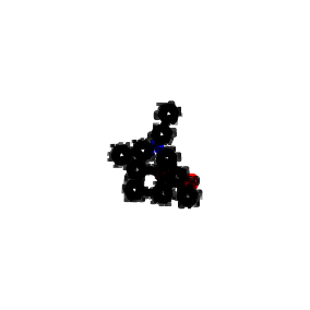 c1ccc(-c2ccc(N(c3ccc(-c4ccccc4)cc3)c3ccc4c(c3)oc3c(-c5cccc6c5-c5ccccc5Cc5ccccc5-c5ccccc5C6)c5c(cc34)oc3ccccc35)cc2)cc1